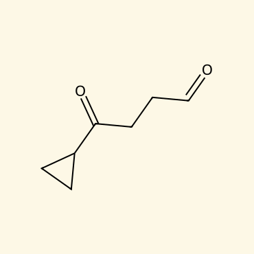 O=CCCC(=O)C1CC1